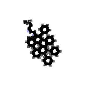 C=C/C=C\C=C(/C)N(c1ccccc1)c1ccccc1-c1ccccc1-c1cccc2c(-c3ccccc3)c(-c3ccccc3)c(-c3ccccc3)c(-c3ccccc3)c12